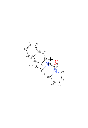 C[C@@H]1C[C@]2(C)C[C@@H](Cc3ccccc32)N1C(=O)N1CCCCC1